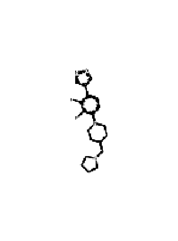 Fc1c(-c2cnoc2)ccc(N2CCC(CN3CCCC3)CC2)c1F